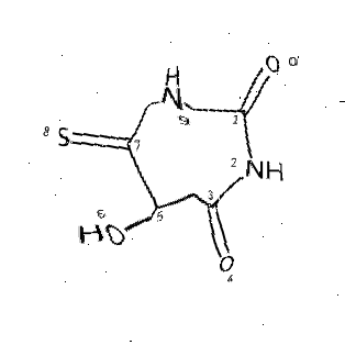 O=C1NC(=O)C(O)C(=S)N1